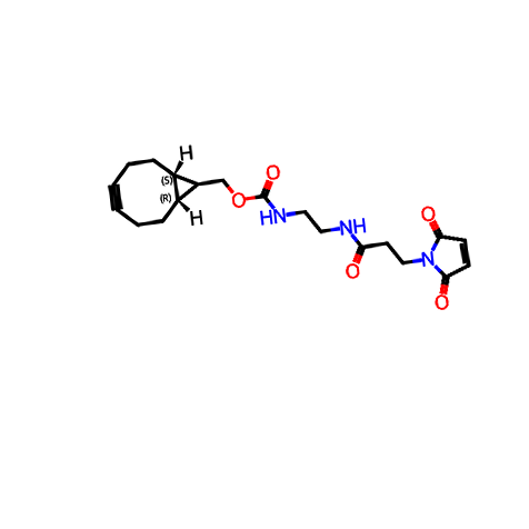 O=C(CCN1C(=O)C=CC1=O)NCCNC(=O)OCC1[C@H]2CCC#CCC[C@@H]12